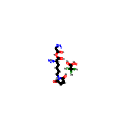 NCC(=O)OC(=O)[C@H](N)CCCCN1C(=O)C=CC1=O.O=C(O)C(F)(F)F